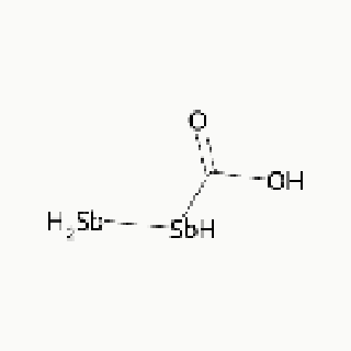 O=[C](O)[SbH][SbH2]